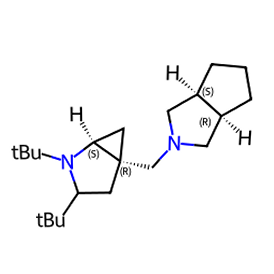 CC(C)(C)C1C[C@]2(CN3C[C@H]4CCC[C@H]4C3)C[C@@H]2N1C(C)(C)C